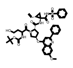 C=C[C@@H]1C[C@]1(NC(=O)[C@@H]1C[C@@H](Oc2cc(-c3ccccc3)nc3cc(OC)ccc23)CN1C(=O)C(CCO)NC(=O)OC(C)(C)C)C(=O)NS(=O)(=O)c1ccccc1